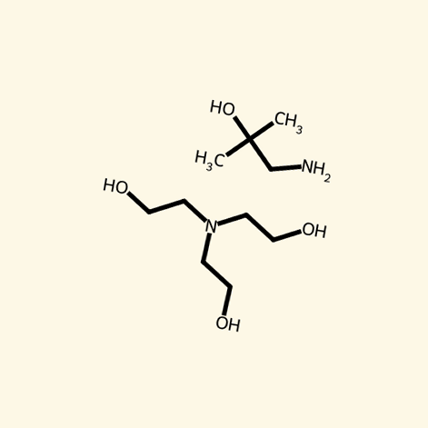 CC(C)(O)CN.OCCN(CCO)CCO